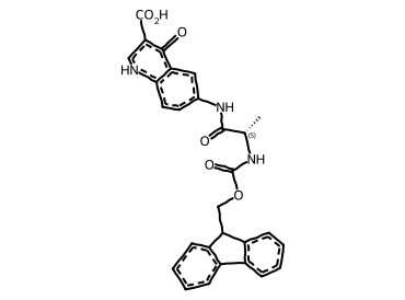 C[C@H](NC(=O)OCC1c2ccccc2-c2ccccc21)C(=O)Nc1ccc2[nH]cc(C(=O)O)c(=O)c2c1